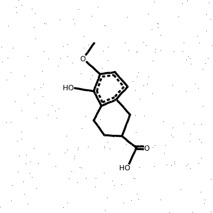 COc1ccc2c(c1O)CCC(C(=O)O)C2